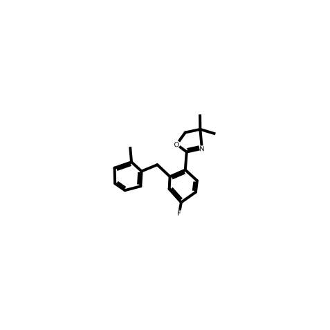 Cc1ccccc1Cc1cc(F)ccc1C1=NC(C)(C)CO1